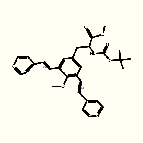 COC(=O)C(Cc1cc(/C=C/c2ccncc2)c(OC)c(/C=C/c2ccncc2)c1)NC(=O)OC(C)(C)C